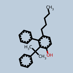 CCCCCc1ccc(O)c(C(C)(C)c2ccccc2)c1-c1ccccc1